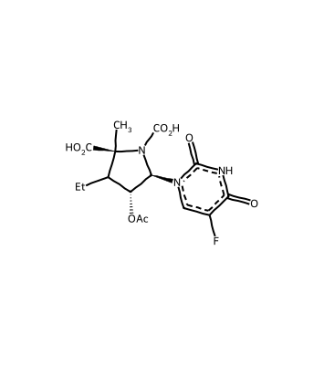 CCC1[C@@H](OC(C)=O)[C@H](n2cc(F)c(=O)[nH]c2=O)N(C(=O)O)[C@]1(C)C(=O)O